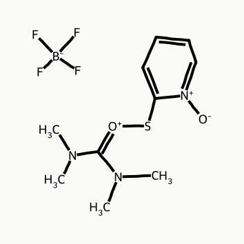 CN(C)C(=[O+]Sc1cccc[n+]1[O-])N(C)C.F[B-](F)(F)F